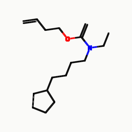 C=CCCOC(=C)N(CC)CCCCC1CCCC1